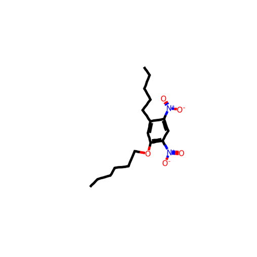 CCCCCCOc1cc(CCCCC)c([N+](=O)[O-])cc1[N+](=O)[O-]